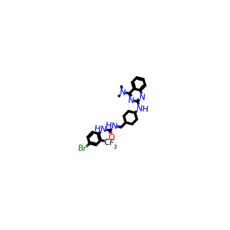 CN(C)c1nc(NC2CCC(CNC(=O)Nc3ccc(Br)cc3C(F)(F)F)CC2)nc2ccccc12